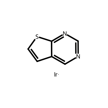 [Ir].c1ncc2ccsc2n1